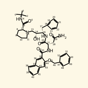 CC(C)(C)NC(=O)[C@@H]1CCCCN1C[C@@H](O)[C@H](Cc1ccccc1)NC(=O)[C@H](CC(N)=O)NC(=O)c1cc2ccccc2cc1OCc1ccccc1